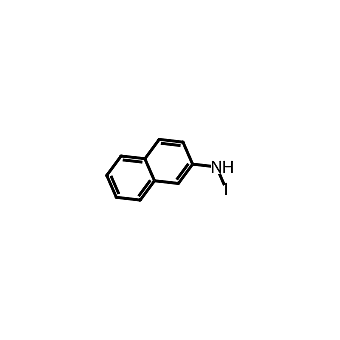 INc1ccc2ccccc2c1